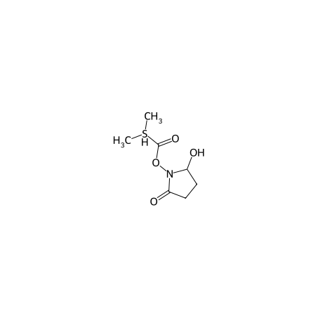 C[SH](C)C(=O)ON1C(=O)CCC1O